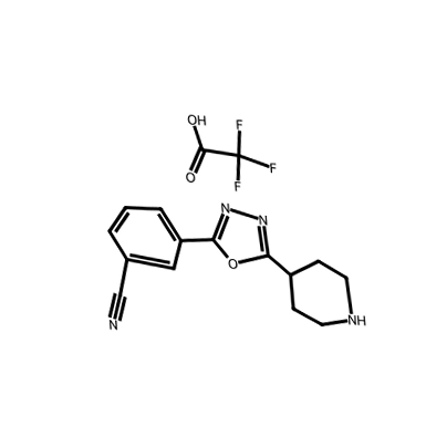 N#Cc1cccc(-c2nnc(C3CCNCC3)o2)c1.O=C(O)C(F)(F)F